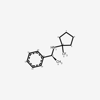 C[C@H](NC1(C(F)(F)F)CCCC1)c1ccccc1